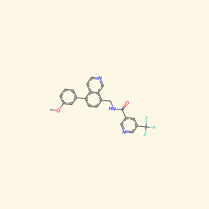 COc1cccc(-c2ccc(CNC(=O)c3cncc(C(F)(F)F)c3)c3cnccc23)c1